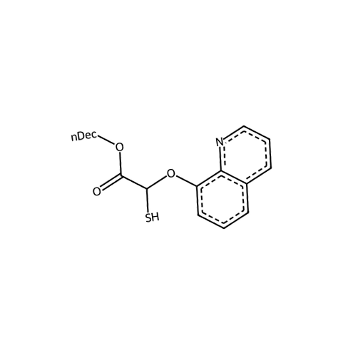 CCCCCCCCCCOC(=O)C(S)Oc1cccc2cccnc12